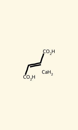 O=C(O)C=CC(=O)O.[CaH2]